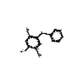 CCCc1cc(O)c(Cc2ccccc2)cc1C(C)CC